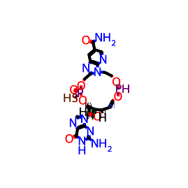 NC(=O)c1cnc2c(c1)nc1n2CCOPO/C=C/[C@H]2O[C@@H](n3cnc4c(=O)[nH]c(N)nc43)[C@H](OP(=O)(S)OC1)[C@@H]2F